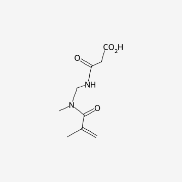 C=C(C)C(=O)N(C)CNC(=O)CC(=O)O